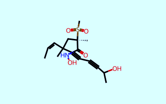 C/C=C\C(C)(C#CC#CC(C)O)C[C@](C)(C(=O)NO)S(C)(=O)=O